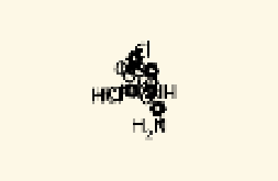 Cl.Cl.NC[C@H]1CC[C@H](C(=O)NC(Cc2cccc(Oc3cc(Cl)ccc3[N+](=O)[O-])c2)C(=O)Nc2ccncc2)CC1